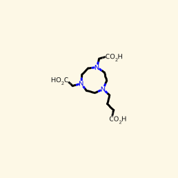 O=C(O)CCCN1CCN(CC(=O)O)CCN(CC(=O)O)CC1